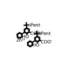 CCCCCC(C)(C)c1cc(C(=O)[O-])c(O)c(-c2ccccc2)c1.CCCCCC(C)(C)c1cc(C(=O)[O-])c(O)c(-c2ccccc2)c1.[Zn+2]